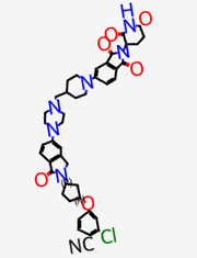 N#Cc1ccc(O[C@@H]2CC[C@@H](N3Cc4cc(N5CCN(CC6CCN(c7ccc8c(c7)C(=O)N(C7CCC(=O)NC7=O)C8=O)CC6)CC5)ccc4C3=O)C2)cc1Cl